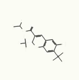 CC(Cl)OC(=O)C1=Cc2cc(Cl)c(C(C)(C)C)cc2O[C@@H]1C(F)(F)F